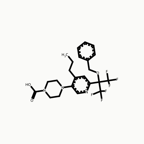 CCCc1cc(C(OCc2ccccc2)(C(F)(F)F)C(F)(F)F)ncc1N1CCN(C(=O)O)CC1